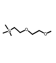 COCCOCC[Si](C)(C)C